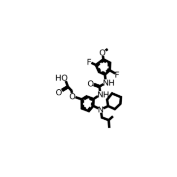 COc1cc(F)c(NC(=O)Nc2cc(OCC(=O)O)ccc2N(CC(C)C)C2CCCCC2)cc1F